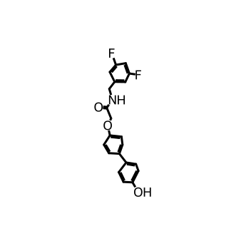 O=C(COc1ccc(-c2ccc(O)cc2)cc1)NCc1cc(F)cc(F)c1